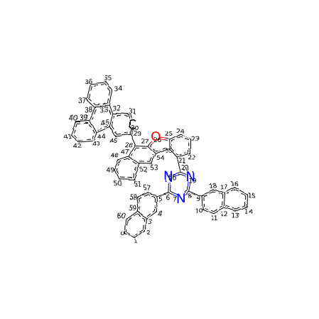 c1ccc2cc(-c3nc(-c4ccc5ccccc5c4)nc(-c4cccc5oc6c(-c7ccc8c9ccccc9c9ccccc9c8c7)c7ccccc7cc6c45)n3)ccc2c1